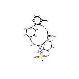 Cc1cccc2c1OCC(=O)N1CCCC(NS(C)(=O)=O)[C@@H]1COC1CCC2CC1